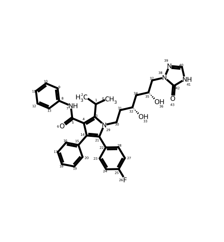 CC(C)c1c(C(=O)Nc2ccccc2)c(-c2ccccc2)c(-c2ccc(F)cc2)n1CC[C@@H](O)C[C@@H](O)Cn1nc[nH]c1=O